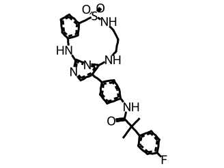 CC(C)(C(=O)Nc1ccc(-c2cnc3nc2NCCCNS(=O)(=O)c2cccc(c2)N3)cc1)c1ccc(F)cc1